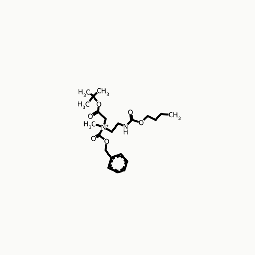 CCCCOC(=O)NCC[N+](C)(CC(=O)OC(C)(C)C)C(=O)OCc1ccccc1